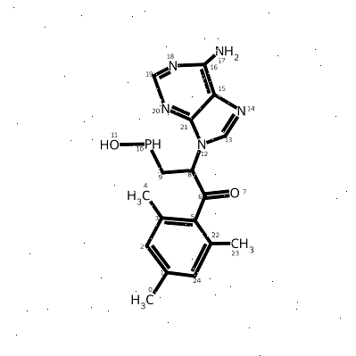 Cc1cc(C)c(C(=O)C([CH]PO)n2cnc3c(N)ncnc32)c(C)c1